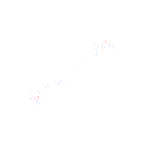 O=C1CCC(N2C(=O)c3cccc(NCCOCCOCCOCCOCCOCCC(=O)N4CCN(C5CCN(c6ccc7c(c6)C(=O)N(C(C(=O)Nc6nccs6)c6cc(F)ccc6O)C7)CC5)CC4)c3C2=O)C(=O)N1